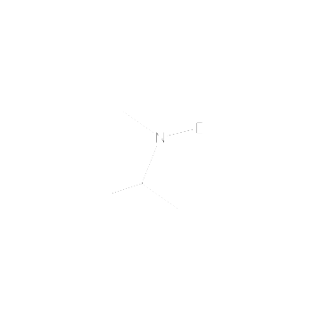 [CH2]CN(C)C(C)C